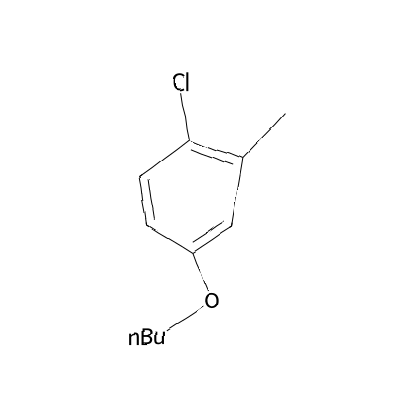 CCCCOc1ccc(Cl)c(C)c1